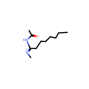 CCCCCCC/C(=N\C)NC(C)=O